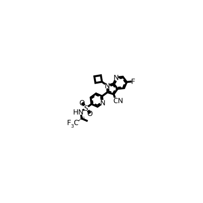 C[C@@H](NS(=O)(=O)c1ccc(-c2c(C#N)c3cc(F)cnc3n2C2CCC2)nc1)C(F)(F)F